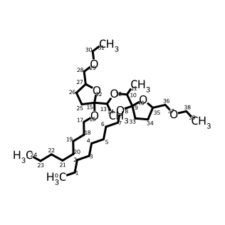 CCCCCCCCOC1(C(C)OC(C)C2(OCCCCCCCC)CCC(COCC)O2)CCC(COCC)O1